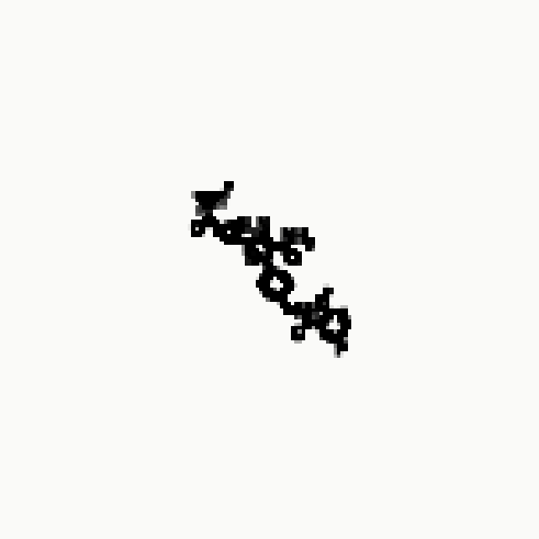 COc1ccc(F)cc1C(=O)NCc1ccc(-c2nn(C3CN(C(=O)[C@@H]4C[C@@H]4F)C3)c(N)c2C(N)=O)cc1